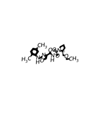 CCOC[C@@H]1CCCN1S(=O)(=O)NC(=O)c1coc(Nc2cc(C)ccc2C)n1